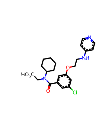 O=C(O)CN(C(=O)c1cc(Cl)cc(OCCNc2ccncc2)c1)C1CCCCC1